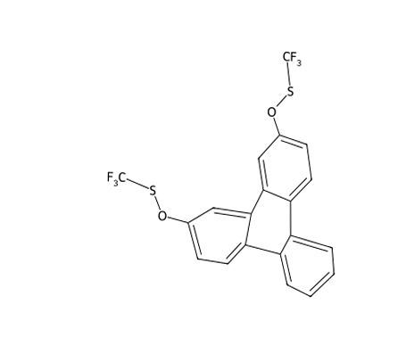 FC(F)(F)SOc1ccc2c3ccccc3c3ccc(OSC(F)(F)F)cc3c2c1